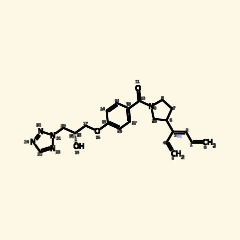 C=C/C=C(\C=C)C1CCN(C(=O)c2ccc(OC[C@H](O)Cn3ncnn3)cc2)C1